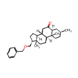 C[C@H]1CC[C@@]2(C)[C@H](C1)C(=O)C[C@@H]1[C@@H]2CC[C@]2(C)[C@@H](COCc3ccccc3)CC[C@@H]12